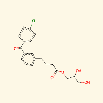 O=C(CCCc1cccc(C(=O)c2ccc(Cl)cc2)c1)OCC(O)CO